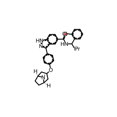 CC(C)C(NC(=O)c1ccc2[nH]nc(-c3ccc(OC4C[C@H]5CC[C@@H](C4)N5C)cc3)c2c1)c1ccccc1Cl